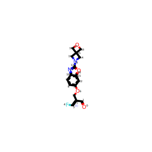 O=C/C(=C/F)COc1ccc2nc(N3CC4(COC4)C3)oc2c1